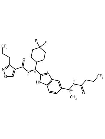 C[C@@H](NC(=O)CCC(F)(F)F)c1ccc2[nH]c([C@@H](NC(=O)c3conc3CCC(F)(F)F)C3CCC(F)(F)CC3)nc2c1